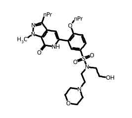 CCCOc1ccc(S(=O)(=O)N(CCO)CCN2CCOCC2)cc1-c1cc2c(CCC)nn(C)c2c(=O)[nH]1